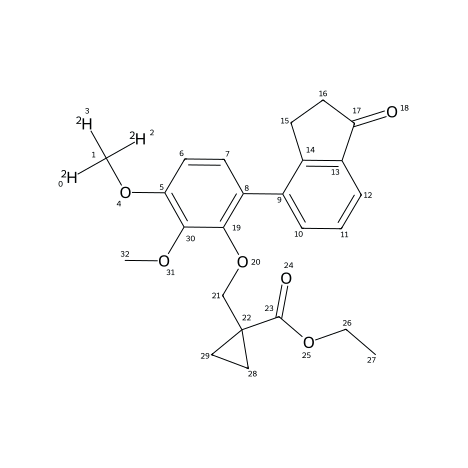 [2H]C([2H])([2H])Oc1ccc(-c2cccc3c2CCC3=O)c(OCC2(C(=O)OCC)CC2)c1OC